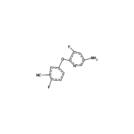 N#Cc1cc(Oc2ncc(N)cc2F)ccc1F